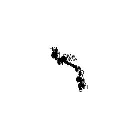 COc1cc2c(NC(C)c3cccc(C(F)(F)CO)c3)nc(C)nc2c(CCCCCCCCN2CCN(C(=O)COc3cccc4c(C5CCC(=O)NC5=O)nn(C)c34)CC2)c1OC